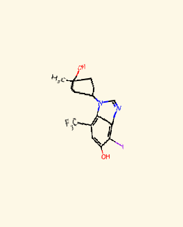 CC1(O)CC(n2cnc3c(I)c(O)cc(C(F)(F)F)c32)C1